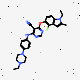 CCN1CCN(c2ccc(Nc3ncnc(Oc4ccc5c(cc(C)n5CC)c4F)c3C#N)cc2)CC1